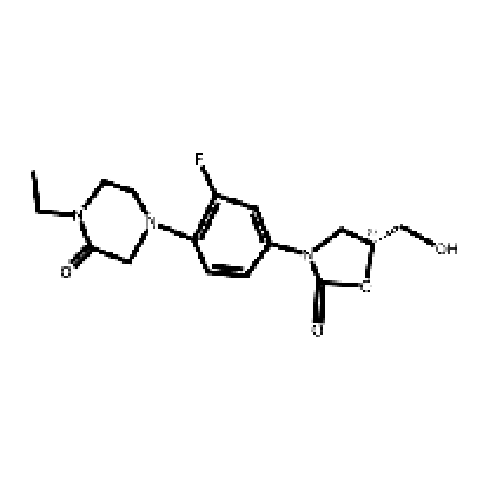 CCN1CCN(c2ccc(N3C[C@H](CO)OC3=O)cc2F)CC1=O